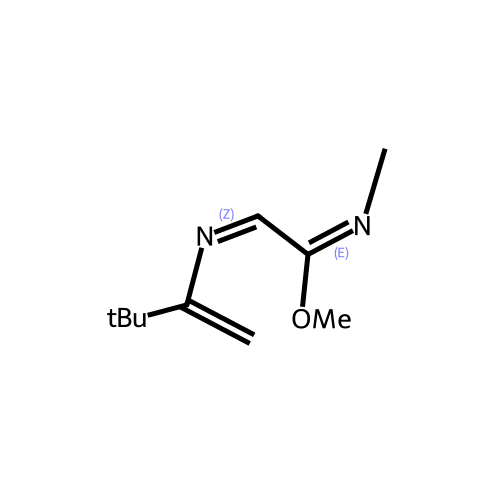 C=C(/N=C\C(=N/C)OC)C(C)(C)C